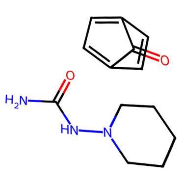 NC(=O)NN1CCCCC1.O=C1C2=CC=C1C=C2